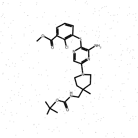 COC(=O)c1cccc(Sc2ncc(N3CCC(C)(CNC(=O)OC(C)(C)C)CC3)nc2N)c1Cl